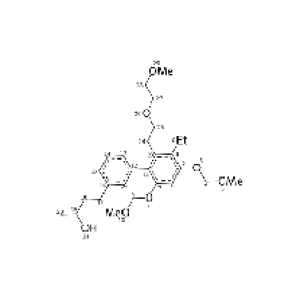 CCc1c(OCOC)cc(OCOC)c(-c2cccc(CCC(C)O)c2)c1CCOCCOC